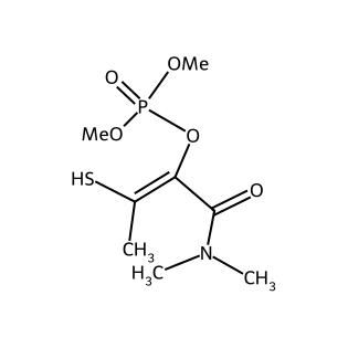 COP(=O)(OC)OC(C(=O)N(C)C)=C(C)S